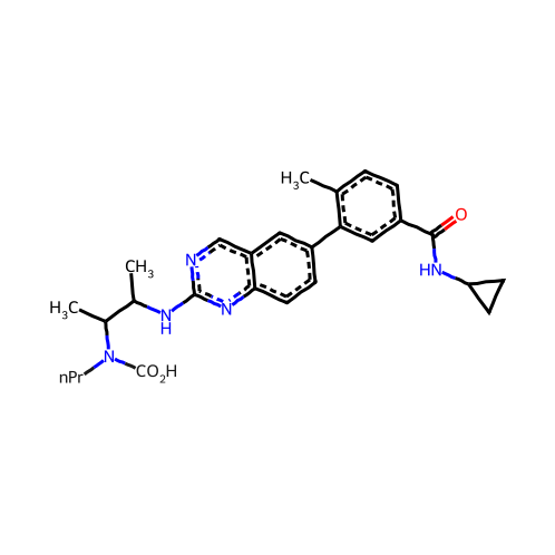 CCCN(C(=O)O)C(C)C(C)Nc1ncc2cc(-c3cc(C(=O)NC4CC4)ccc3C)ccc2n1